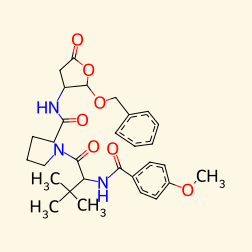 COc1ccc(C(=O)NC(C(=O)N2CCCC2C(=O)NC2CC(=O)OC2OCc2ccccc2)C(C)(C)C)cc1